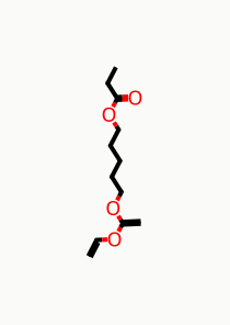 C=COC(=C)OCCCCCOC(=O)CC